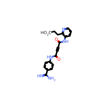 N=C(N)c1ccc(NC(=O)C#CC(=O)Nc2cccnc2CCC(=O)O)cc1